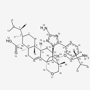 CC(C)[C@@H](C)[C@@]1(C)CC[C@]2(C)[C@H]3CC[C@@H]4[C@@]5(COC[C@@]4(C)[C@@H](OC[C@](C)(N)C(C)C)[C@H](n4nc(N)nc4-c4ccccc4)C5)C3=CC[C@@]2(C)[C@@H]1C(=O)O